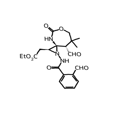 CCOC(=O)C[C@@H]1N(NC(=O)c2ccccc2C=O)[C@]12NC(=O)OCC(C)(C)[C@@H]2C=O